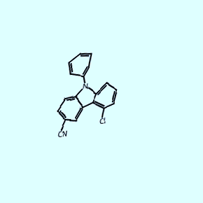 N#Cc1ccc2c(c1)c1c(Cl)cccc1n2-c1ccccc1